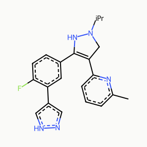 Cc1cccc(C2=C(c3ccc(F)c(-c4cn[nH]c4)c3)NN(C(C)C)C2)n1